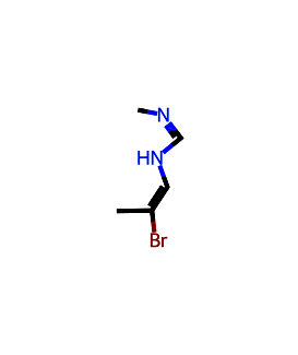 C/N=C\N/C=C(\C)Br